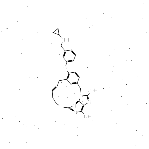 Nc1nc2nc3c1nc(O)n3Cc1ccc(Oc3cccc(CNC4CC4)c3)c(c1)C/C=C/CCO2